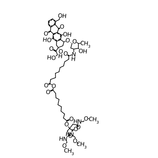 COCNC(=O)CC(CC(=O)NCOC)(OC(=O)CCCCCCCCC(=O)OC(=O)CCCCCCCCC(=O)NC1C[C@H](O[C@H]2C[C@@](O)(C(=O)CO)Cc3c(O)c4c(c(O)c32)C(=O)c2c(CO)cccc2C4=O)OC(C)C1O)C(=O)NCOC